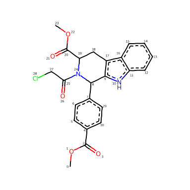 COC(=O)c1ccc(C2c3[nH]c4ccccc4c3CC(C(=O)OC)N2C(=O)CCl)cc1